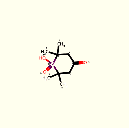 CC1(C)CC(=O)CC(C)(C)P1(=O)O